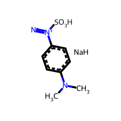 CN(C)c1ccc([N+](=[N-])S(=O)(=O)O)cc1.[NaH]